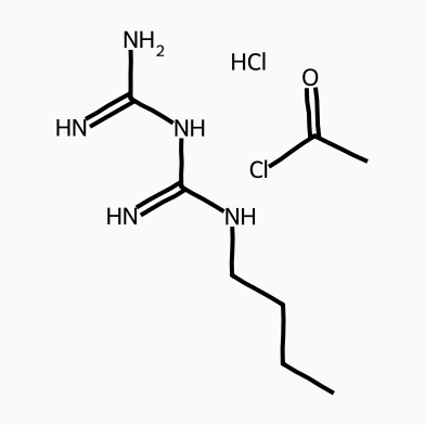 CC(=O)Cl.CCCCNC(=N)NC(=N)N.Cl